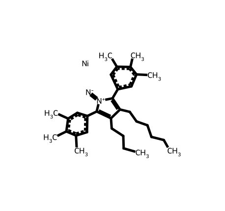 CCCCCCC1=C(c2cc(C)c(C)c(C)c2)[N+](=[N-])C(c2cc(C)c(C)c(C)c2)=C1CCCC.[Ni]